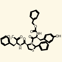 O=C(N[C@@H](Cc1ccc(O)cc1)C(=O)N1C(c2ccccc2)SC[C@H]1C(=O)N[C@@H](Cc1ccccc1)C(=O)C(=O)O)OCc1ccccc1